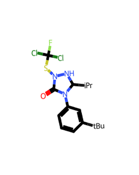 CC(C)C1NN(SC(F)(Cl)Cl)C(=O)N1c1cccc(C(C)(C)C)c1